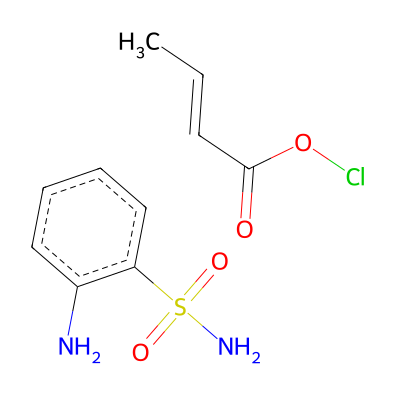 CC=CC(=O)OCl.Nc1ccccc1S(N)(=O)=O